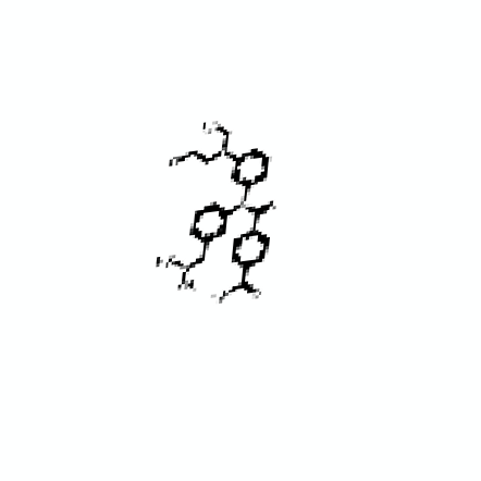 CCN(CCCl)c1cccc(N(C(=O)c2ccc(C(N)=O)cc2)c2cccc(CN(C)C)c2)c1